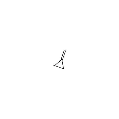 C=C1[CH]C1